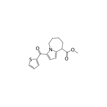 COC(=O)C1CCCCn2c(C(=O)c3cccs3)ccc21